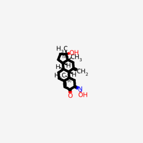 C=C1C[C@@]2(C)[C@@H](CC[C@]2(C)O)[C@@H]2CCC3=CC(=O)C(=NO)C[C@]3(C)[C@@H]12